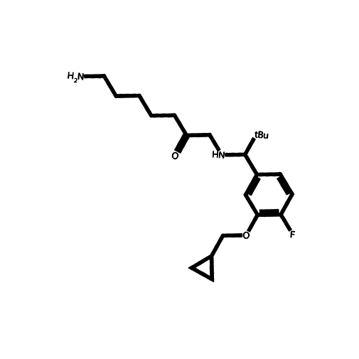 CC(C)(C)C(NCC(=O)CCCCCN)c1ccc(F)c(OCC2CC2)c1